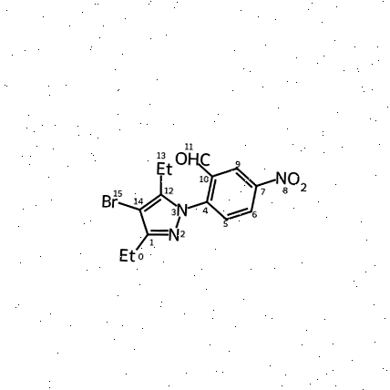 CCc1nn(-c2ccc([N+](=O)[O-])cc2C=O)c(CC)c1Br